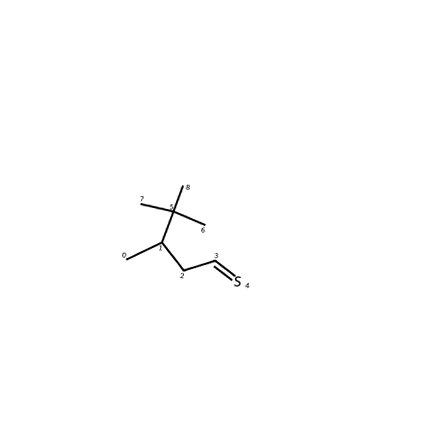 CC(CC=S)C(C)(C)C